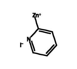 [I-].[Zn+][c]1ccccn1